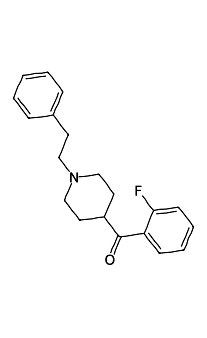 O=C(c1ccccc1F)C1CCN(CCc2ccccc2)CC1